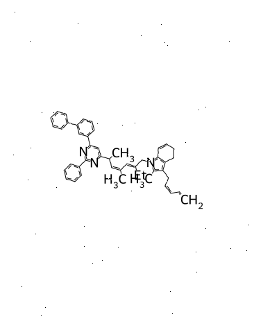 C=C/C=C\Cc1c2c(n(C/C(=C/C(C)=C\C(C)c3cc(-c4cccc(-c5ccccc5)c4)nc(-c4ccccc4)n3)CC)c1C)C=CCC2